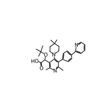 Cc1nc(C)c(C(OC(C)(C)C)C(=O)O)c(N2CCC(C)(C)CC2)c1-c1ccc(-c2ccccn2)cc1